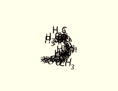 CCCCOC(=O)C(CCC(=O)NC(C(=O)N[C@@H]1C(=O)N2C(C(=O)OCOC(=O)Cc3ccccc3)=C(C)CC[C@H]12)c1ccccc1)NC(=O)OC(C)(C)C